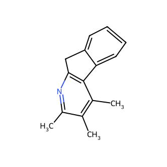 Cc1nc2c(c(C)c1C)-c1ccccc1C2